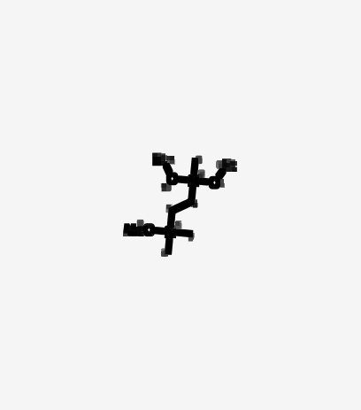 CCO[Si](C)(CC[Si](C)(C)OC)OCC